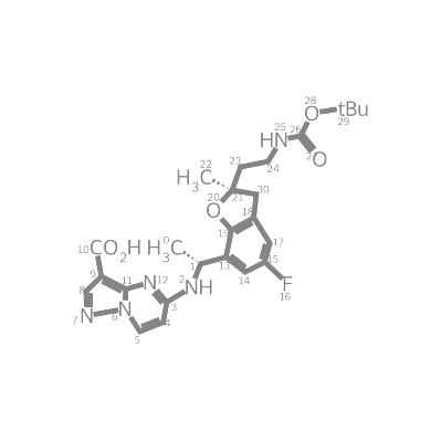 C[C@@H](Nc1ccn2ncc(C(=O)O)c2n1)c1cc(F)cc2c1O[C@@](C)(CCNC(=O)OC(C)(C)C)C2